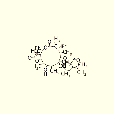 CCC1OC(=O)C(C)C(C(C)C)C(C)C(OC2OC(C)CC(N(C)C)C2P=O)C(C)(O)CC(C)C(O)C(C)C2OC(=O)OC12C